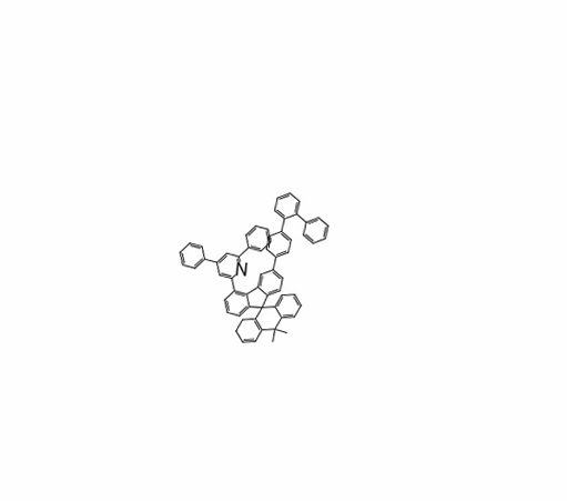 CC1(C)C2=C(CCC=C2)C2(c3ccc(-c4ccc(-c5ccccc5-c5ccccc5)cc4)cc3-c3c(-c4cc(-c5ccccc5)cc(-c5ccccc5)n4)cccc32)c2ccccc21